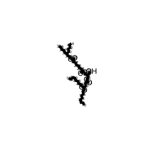 CC/C=C\CCCCOC(CCC(=O)OCC(CO)COC(=O)CCCCCCC(=O)OCCC(CCCCC)CCCCC)OCCCC/C=C\CC